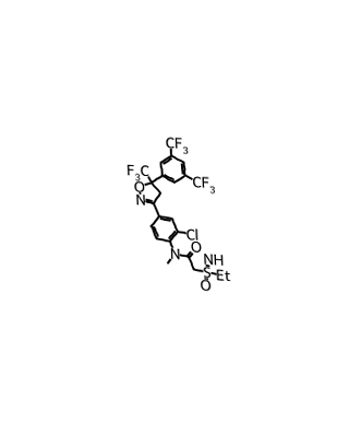 CCS(=N)(=O)CC(=O)N(C)c1ccc(C2=NOC(c3cc(C(F)(F)F)cc(C(F)(F)F)c3)(C(F)(F)F)C2)cc1Cl